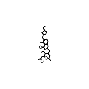 CCCC(CC1CC(=O)c2c(ccc(CC3=CC(CC)=CC3)c2C)C1)C(CC)C(=O)CC(C)=O